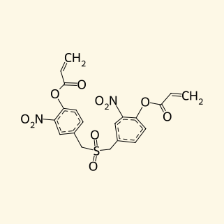 C=CC(=O)Oc1ccc(CS(=O)(=O)Cc2ccc(OC(=O)C=C)c([N+](=O)[O-])c2)cc1[N+](=O)[O-]